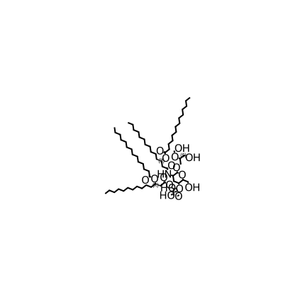 CCCCCCCCCCCCCC(=O)O[C@H](CCCCCCCCCCC)CC(=O)NC1C(OCC(OCO)[C@H](C)O)OC(CO)C(OP(=O)(O)O)C1OC(=O)C[C@@H](CCCCCCCCCCC)OC(=O)CCCCCCCCCCCCC